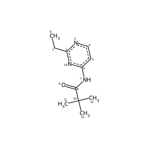 CCc1nccc(NC(=O)C(C)(C)C)n1